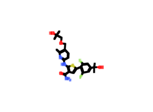 Cc1nc(Nc2sc(-c3c(F)cc(C(C)(C)O)cc3F)cc2C(N)=O)ccc1COCC(C)(C)O